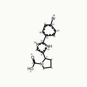 O=C(O)N1CCCC1c1cnc(-c2ccc(Br)cc2)[nH]1